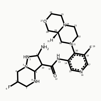 NC1NN2CC(F)CNC2C1C(=O)Nc1cncc(F)c1N1CCN2CCOC[C@H]2C1